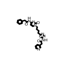 O=C(Cc1ccccc1)Nc1ccn(CCCCc2nnc(NC(=O)Cc3cccnc3)s2)c(=O)n1